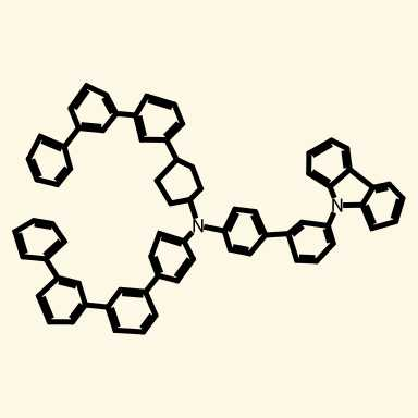 c1ccc(-c2cccc(-c3cccc(-c4ccc(N(c5ccc(-c6cccc(-n7c8ccccc8c8ccccc87)c6)cc5)C5CCC(c6cccc(-c7cccc(-c8ccccc8)c7)c6)CC5)cc4)c3)c2)cc1